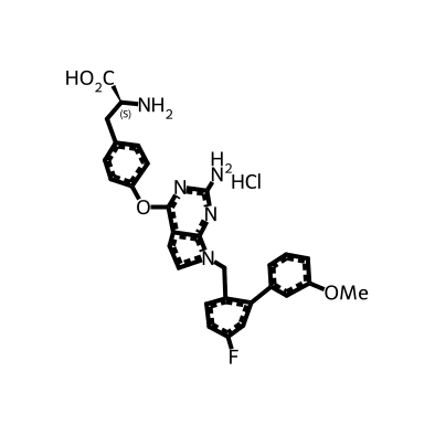 COc1cccc(-c2cc(F)ccc2Cn2ccc3c(Oc4ccc(C[C@H](N)C(=O)O)cc4)nc(N)nc32)c1.Cl